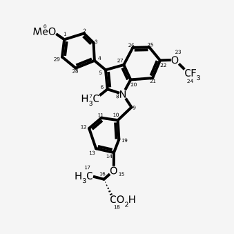 COc1ccc(-c2c(C)n(Cc3cccc(O[C@@H](C)C(=O)O)c3)c3cc(OC(F)(F)F)ccc23)cc1